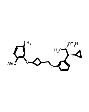 COc1ccc(C)cc1OC1CC(COc2cccc([C@H](C3CC3)[C@H](C)C(=O)O)c2)C1